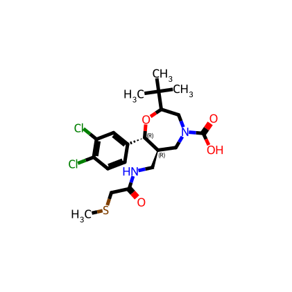 CSCC(=O)NC[C@@H]1CN(C(=O)O)CC(C(C)(C)C)O[C@H]1c1ccc(Cl)c(Cl)c1